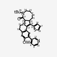 COc1cc2c(cc1-c1cccnc1)C1=C(c3cccs3)C3CSCCN(C(C)(C)C)C(=O)C3N1CC2